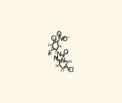 O=c1n(-c2cc([N+](=O)[O-])c(Cl)cc2F)nc2ccc(Cl)cn12